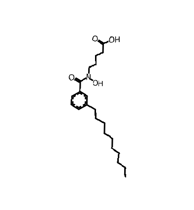 CCCCCCCCCCc1cccc(C(=O)N(O)CCCCC(=O)O)c1